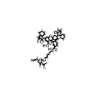 Cc1ccc(C(=O)NCCCCCCOP(OCCC#N)N(C(C)C)C(C)C)cc1C1(OCO)c2ccc(N(C(=O)C(F)(F)F)C3CCCCC3)cc2Oc2cc(N(C(=O)C(F)(F)F)C3CCCCC3)ccc21